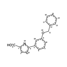 O=C(O)c1coc(-c2cccc(OCc3ccccc3)c2)n1